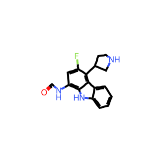 O=CNc1cc(F)c(C2CCNC2)c2c1[nH]c1ccccc12